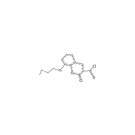 CCCCOc1cccc2cc(C(=O)Cl)c(=O)oc12